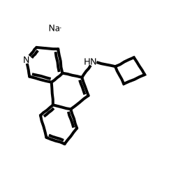 [Na].c1ccc2c(c1)cc(NC1CCC1)c1ccncc12